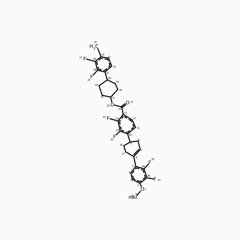 CCCCOc1ccc(C2=CCC(c3ccc(C(=O)OC4CCC(c5ccc(C)c(F)c5F)CC4)c(F)c3F)CC2)c(F)c1F